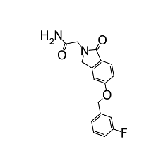 NC(=O)CN1Cc2cc(OCc3cccc(F)c3)ccc2C1=O